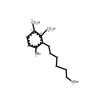 CCCCCCCCCCCCCCCCc1c(CCCC)ccc(C(=O)O)c1C(=O)O